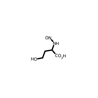 O=NNC(CCO)C(=O)O